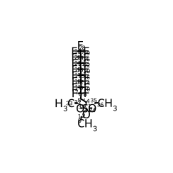 CCO[Si](C[CH]C(F)(F)C(F)(F)C(F)(F)C(F)(F)C(F)(F)C(F)(F)C(F)(F)C(F)(F)F)(OCC)OCC